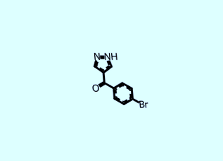 O=C(c1ccc(Br)cc1)c1cn[nH]c1